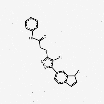 CCn1c(SCC(=O)Nc2ccccc2)nnc1-c1ccc2c(c1)C(C)C=C2